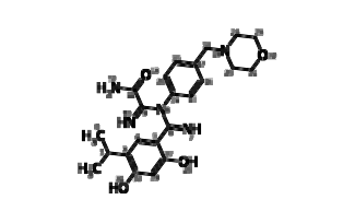 CC(C)c1cc(C(=N)N(C(=N)C(N)=O)c2ccc(CN3CCOCC3)cc2)c(O)cc1O